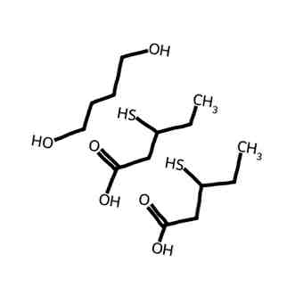 CCC(S)CC(=O)O.CCC(S)CC(=O)O.OCCCCO